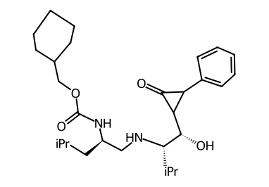 CC(C)C[C@H](CN[C@@H](C(C)C)[C@@H](O)C1C(=O)C1c1ccccc1)NC(=O)OCC1CCCCC1